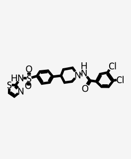 O=C(NN1CCC(c2ccc(S(=O)(=O)Nc3nccs3)cc2)CC1)c1ccc(Cl)c(Cl)c1